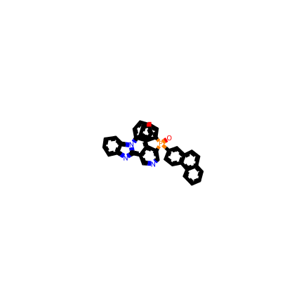 O=P(c1ccccc1)(c1ccc2c(ccc3ccccc32)c1)c1cncc2c1c1ccccc1n1c3ccccc3nc21